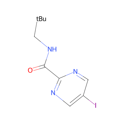 CC(C)(C)CNC(=O)c1ncc(I)cn1